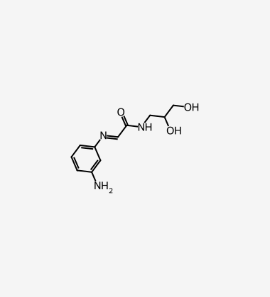 Nc1cccc(N=CC(=O)NCC(O)CO)c1